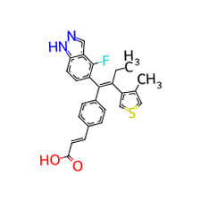 CCC(=C(c1ccc(C=CC(=O)O)cc1)c1ccc2[nH]ncc2c1F)c1cscc1C